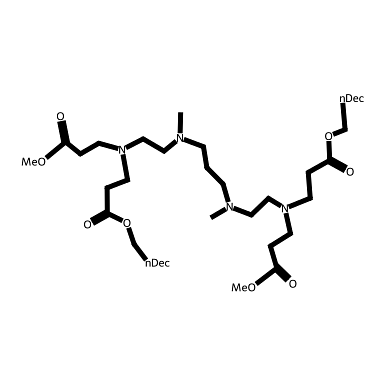 CCCCCCCCCCCOC(=O)CCN(CCC(=O)OC)CCN(C)CCCN(C)CCN(CCC(=O)OC)CCC(=O)OCCCCCCCCCCC